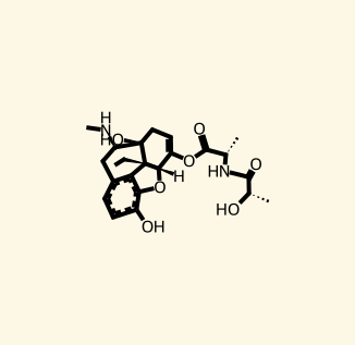 CC[C@]12c3c4ccc(O)c3O[C@H]1C(OC(=O)[C@H](C)NC(=O)[C@H](C)O)=CC[C@@]2(O)[C@H](NC)C4